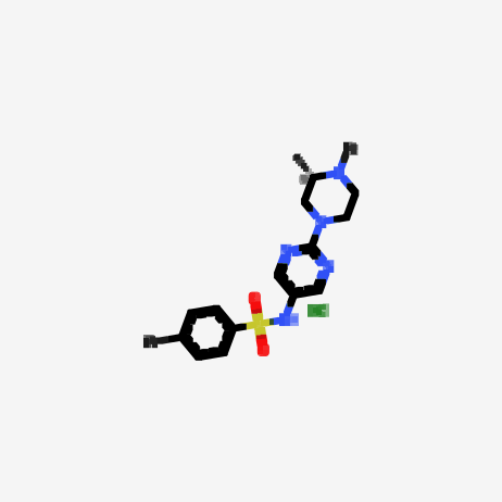 CCN1CCN(c2ncc(NS(=O)(=O)c3ccc(C(C)C)cc3)cn2)C[C@@H]1C.Cl